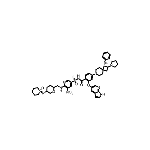 CC(C)c1ccccc1[C@@H]1CCCN1C1CC2(CCN(c3ccc(C(=O)NS(=O)(=O)c4cnc(NCC5CCC(N=S6(=O)CCCCC6)CO5)c([N+](=O)[O-])c4)c(Oc4cnc5[nH]ccc5c4)c3)CC2)C1